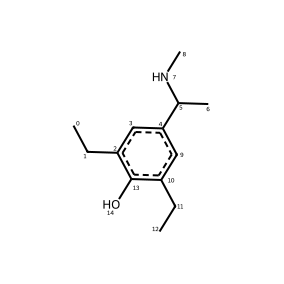 CCc1cc(C(C)NC)cc(CC)c1O